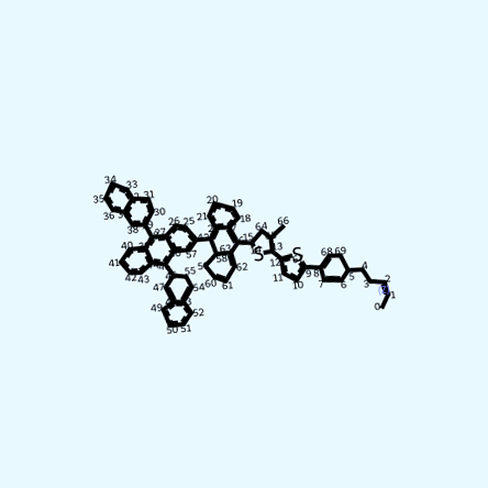 C/C=C\CCC1C=CC(c2ccc(C3SC(C4=c5ccccc5=C(c5ccc6c(-c7ccc8ccccc8c7)c7ccccc7c(C7C=c8ccccc8=CC7)c6c5)C5CC=CC=C45)CC3C)s2)=CC1